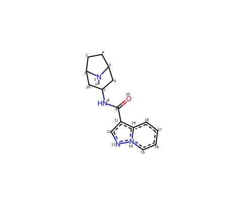 CN1C2CCC1CC(NC(=O)c1cnn3ccccc13)C2